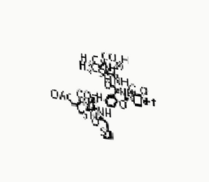 CC(=O)OCC1=C(C(=O)O)N2C(=O)[C@@H](NC(=O)Cc3cccs3)[C@H]2SC1.CCN1CCN(C(=O)N[C@@H](C(=O)N[C@@H]2C(=O)N3[C@@H]2SC(C)(C)[C@@H]3C(=O)O)c2ccccc2)C(=O)C1=O